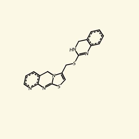 C1=C(CSC2=Nc3ccccc3CN2)N2Cc3cccnc3N=C2S1